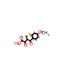 COc1ccc2c(c1)SCC(C(=O)C(=O)O)C2=O